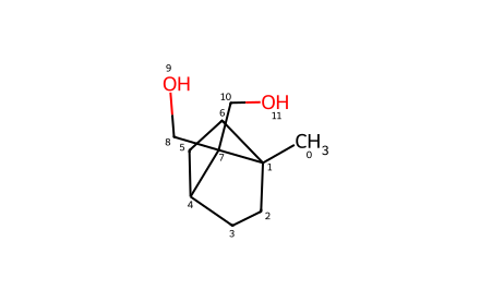 CC12CCC(CC1)C2(CO)CO